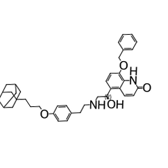 O=c1ccc2c([C@@H](O)CNCCc3ccc(OCCCC45CC6CC(CC(C6)C4)C5)cc3)ccc(OCc3ccccc3)c2[nH]1